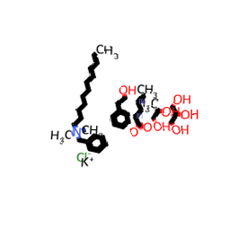 C/C=C/C=C/C(=O)[O-].CC(O)CO.CCCCCCCCCCCC[N+](C)(C)Cc1ccccc1.OCC(O)CO.OCCc1ccccc1.[Cl-].[K+]